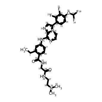 CCc1cc(Nc2nccn3c(-c4ccc(OC(F)F)c(F)c4F)cnc23)ccc1C(=O)NCC(=O)NCCN(C)C